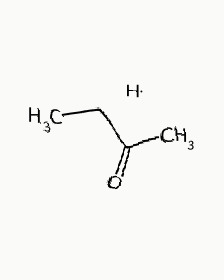 CCC(C)=O.[H]